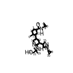 Cc1ccc(C(=O)NC2CC2)cc1-c1cnc(NC(C)(C)CO)c(-c2cnn(C3CC3)c2)c1